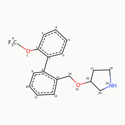 FC(F)(F)Oc1ccccc1-c1ccccc1COC1CCNC1